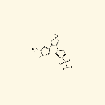 Cc1cc(C2=CC3(C=C2c2ccc(S(=O)(=O)C(F)F)cc2)CC3)ccc1F